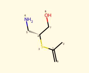 C=C(C)S[C@H](CN)CO